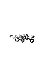 CC(C)(C)C1C(n2cc(-c3cc(-c4ccccc4O)nnc3N)cn2)CCCN1C(=O)O